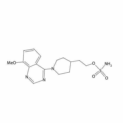 COc1cccc2c(N3CCC(CCOS(N)(=O)=O)CC3)ncnc12